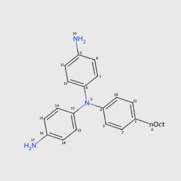 CCCCCCCCc1ccc(N(c2ccc(N)cc2)c2ccc(N)cc2)cc1